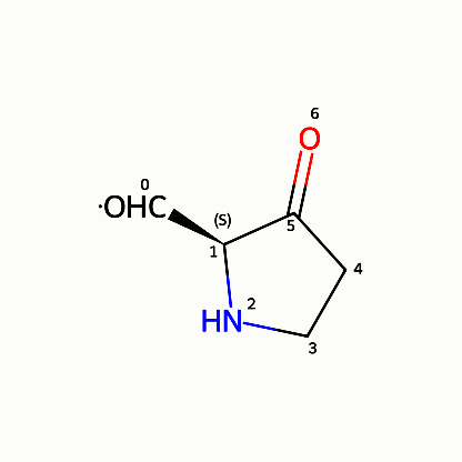 O=[C][C@@H]1NCCC1=O